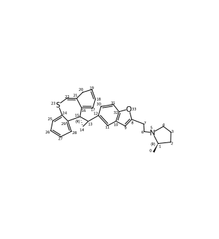 C[C@@H]1CCCN1CCc1cc2cc(C3C[C@]34C3=CC=CCC3=CSc3ccccc34)ccc2o1